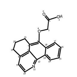 O=C(O)COc1c2c3c(ccnc3c3ccccc13)CCC2